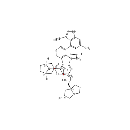 Cc1cc2[nH]nc(C#N)c2c(-c2nccc3c4c(N5C[C@H]6CC[C@@H](C5)N6C(=O)OC(C)(C)C)nc(OC[C@@]56CCCN5C[C@H](F)C6)nc4n(C)c23)c1C(F)(F)F